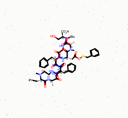 CC(C)C[C@@H](C(=O)N[C@@H](C)C(=O)N[C@H](C(=O)N[C@@H](Cc1ccccc1)C(=O)N[C@@H](CC(=O)OSCc1ccccc1)C(=O)N(C)[C@@H](C)C(=O)N[C@@H](CO)C(=O)O)C(C)C)N(C)C(=O)CNC(=O)[C@H](Cc1ccccc1)N(C)C(=O)[C@H](C)NC(=O)CNC(=O)OC(C)(C)C